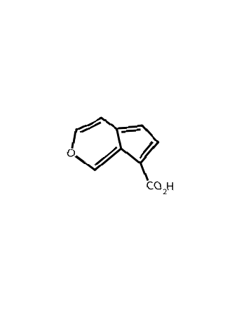 O=C(O)c1ccc2ccocc1-2